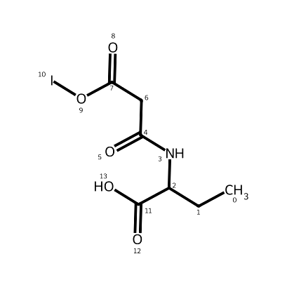 CCC(NC(=O)CC(=O)OI)C(=O)O